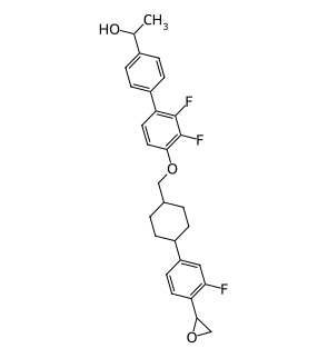 CC(O)c1ccc(-c2ccc(OCC3CCC(c4ccc(C5CO5)c(F)c4)CC3)c(F)c2F)cc1